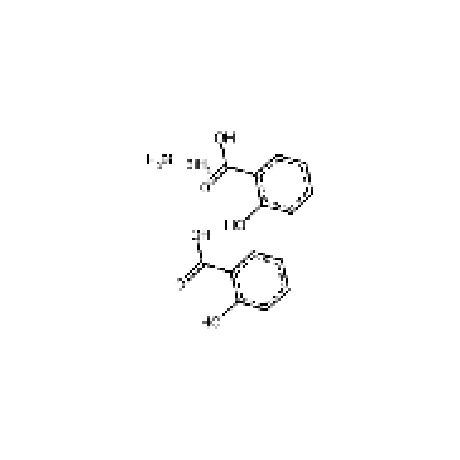 O=C(O)c1ccccc1O.O=C(O)c1ccccc1O.[BiH3].[BiH3]